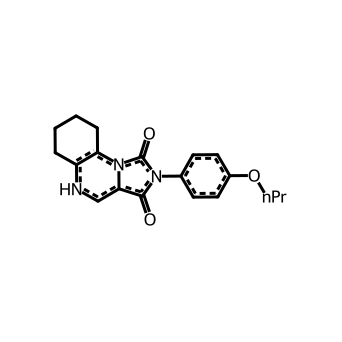 CCCOc1ccc(-n2c(=O)c3c[nH]c4c(n-3c2=O)CCCC4)cc1